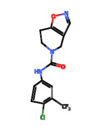 O=C(Nc1ccc(Cl)c(C(F)(F)F)c1)N1CCc2oncc2C1